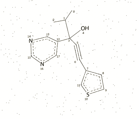 CC(C)C(O)(C#Cc1ccsc1)c1cncnc1